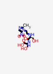 Cc1ncc([N+](=O)[O-])n1CCN[C@@H](CO)C(=O)N[C@@H](CO)C(=O)O